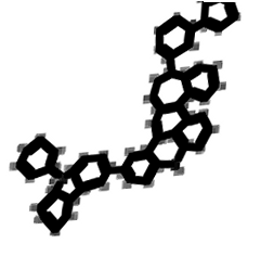 c1ccc(-c2cccc(C3CCc4cc5c6c(cccc6c4-c4ccccc43)Sc3ccc(-c4ccc6c(c4)c4ccccc4n6-c4ccccc4)cc3-5)c2)cc1